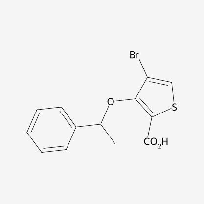 CC(Oc1c(Br)csc1C(=O)O)c1ccccc1